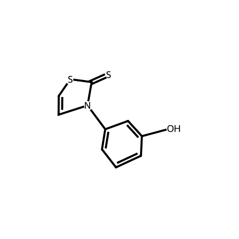 Oc1cccc(-n2ccsc2=S)c1